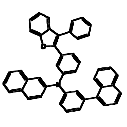 c1ccc(-c2c(-c3cccc(N(c4cccc(-c5cccc6ccccc56)c4)c4ccc5ccccc5c4)c3)oc3ccccc23)cc1